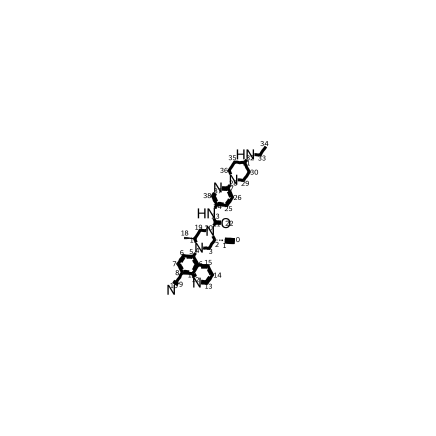 C#C[C@@H]1CN(c2ccc(C#N)c3ncccc23)[C@@H](C)CN1C(=O)Nc1ccc(N2CCC(NCC)CC2)nc1